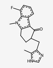 Cc1[nH]cnc1CC1CCc2c(c3cccc(F)c3n2C)C1=O